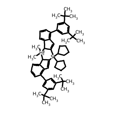 CC(C)(C)c1cc(-c2cccc3c2C=C2[CH]3[Hf]([CH3])([CH3])[CH]3C(=Cc4c(-c5cc(C(C)(C)C)cc(C(C)(C)C)c5)cccc43)[Si]2(C2CCCC2)C2CCCC2)cc(C(C)(C)C)c1